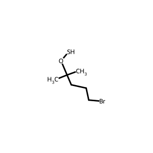 CC(C)(CCCBr)OS